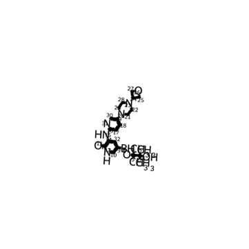 CC(C)(O)C(C)(C)OBc1c[nH]c(=O)c(Nc2ccc(N3CCN(C4COC4)CC3)cn2)c1